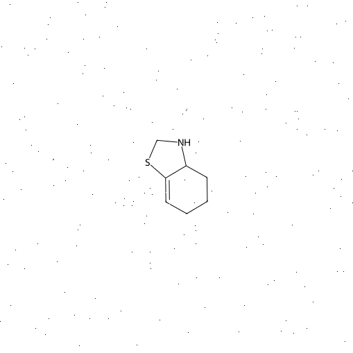 C1=C2SCNC2CCC1